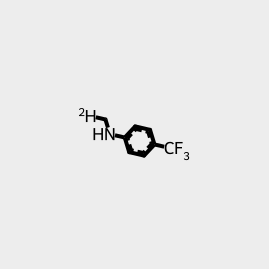 [2H]CNc1ccc(C(F)(F)F)cc1